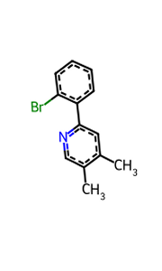 Cc1cnc(-c2ccccc2Br)cc1C